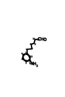 Nc1cccc(CCCCCC=O)c1